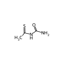 CC(=S)NC(N)=O